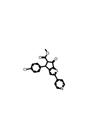 COC(=O)C1C(=O)c2sc(-c3ccncc3)cc2C1c1ccc(Cl)cc1